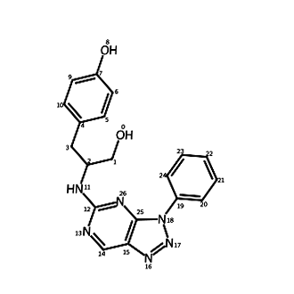 OCC(Cc1ccc(O)cc1)Nc1ncc2nnn(-c3ccccc3)c2n1